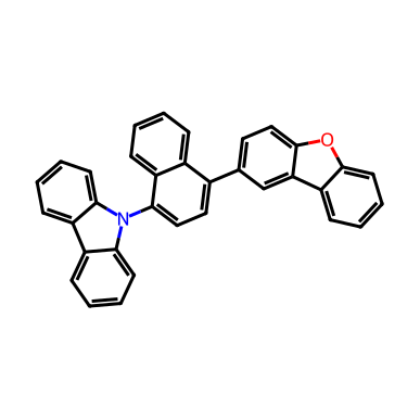 c1ccc2c(c1)oc1ccc(-c3ccc(-n4c5ccccc5c5ccccc54)c4ccccc34)cc12